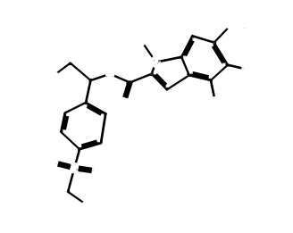 Cc1cc2c(cc(C(=O)NC(CO)c3ccc(S(=O)(=O)CC(=O)O)cc3)n2C)c(Cl)c1Cl